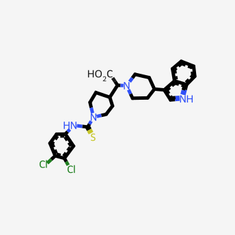 O=C(O)C(C1CCN(C(=S)Nc2ccc(Cl)c(Cl)c2)CC1)N1CCC(c2c[nH]c3ccccc23)CC1